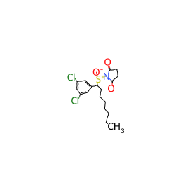 CCCCCCCC(c1cc(Cl)cc(Cl)c1)[S+]([O-])N1C(=O)CCC1=O